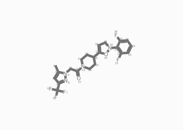 Cc1cc(C(F)(F)F)nn1CC(=O)N1CCC(C2=CCN(c3c(F)cccc3F)O2)CC1